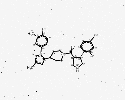 Cc1cc(C2CCN(C(=O)[C@@H]3CNC[C@H]3c3ccc(F)cc3F)CC2)n(-c2ccc(F)c(C)c2)n1